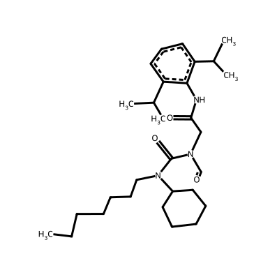 CCCCCCCN(C(=O)N(C=O)CC(=O)Nc1c(C(C)C)cccc1C(C)C)C1CCCCC1